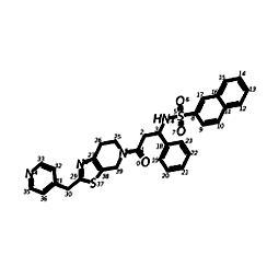 O=C(CC(NS(=O)(=O)c1ccc2ccccc2c1)c1ccccc1)N1CCc2nc(Cc3ccncc3)sc2C1